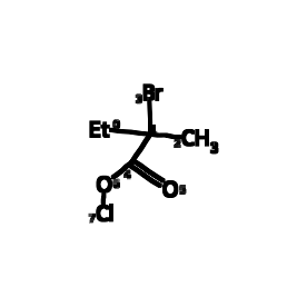 CCC(C)(Br)C(=O)OCl